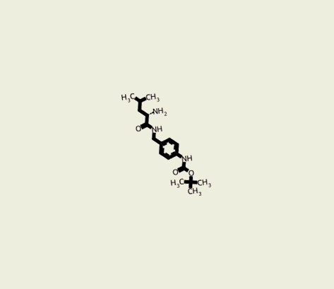 CC(C)C[C@H](N)C(=O)NCc1ccc(NC(=O)OC(C)(C)C)cc1